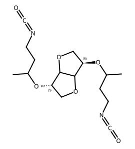 CC(CCN=C=O)O[C@H]1COC2C1OC[C@H]2OC(C)CCN=C=O